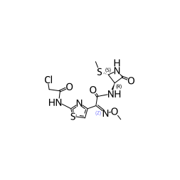 CO/N=C(\C(=O)N[C@@H]1C(=O)N[C@H]1SC)c1csc(NC(=O)CCl)n1